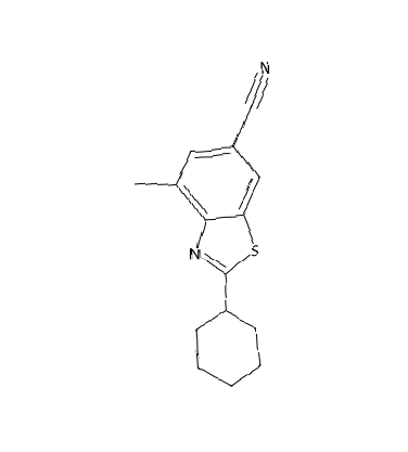 Cc1cc(C#N)cc2sc(C3CCCCC3)nc12